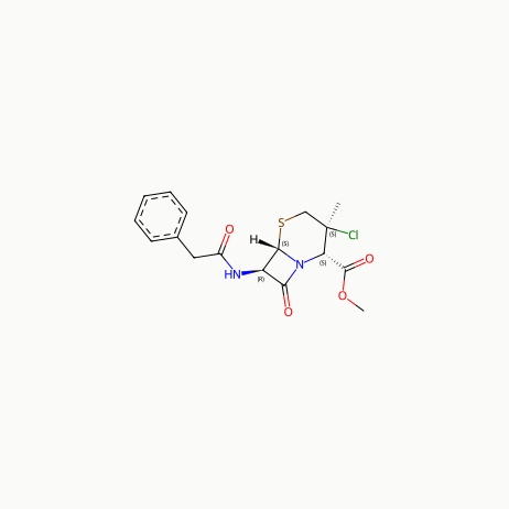 COC(=O)[C@@H]1N2C(=O)[C@@H](NC(=O)Cc3ccccc3)[C@@H]2SC[C@@]1(C)Cl